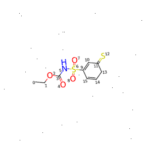 CCOC(=O)NS(=O)(=O)C1=CC(=S)CC=C1